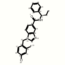 CC[C@@H](NC(=O)c1ccc2c(c1)ncn2Cc1ccc(Cl)cc1F)c1ccccc1